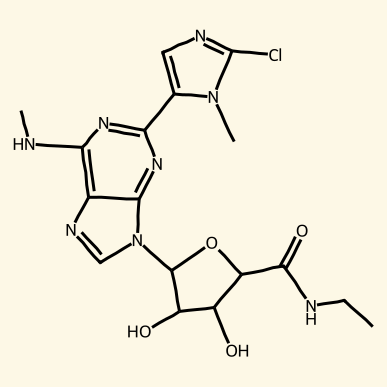 CCNC(=O)C1OC(n2cnc3c(NC)nc(-c4cnc(Cl)n4C)nc32)C(O)C1O